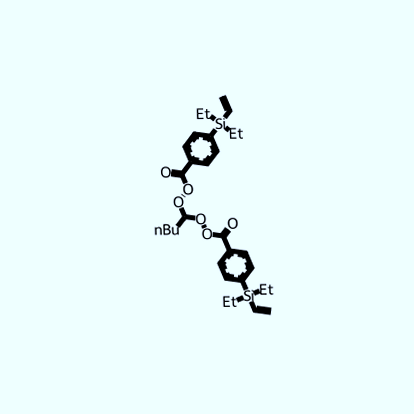 [CH2]CCC[C](OOC(=O)c1ccc([Si](C=C)(CC)CC)cc1)OOC(=O)c1ccc([Si](C=C)(CC)CC)cc1